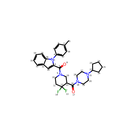 Cc1ccc(-n2c(C(=O)N3CCC(F)(F)C(C(=O)N4CCN(C5CCCC5)CC4)C3)cc3ccccc32)cc1